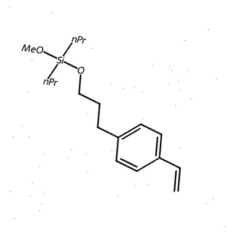 C=Cc1ccc(CCCO[Si](CCC)(CCC)OC)cc1